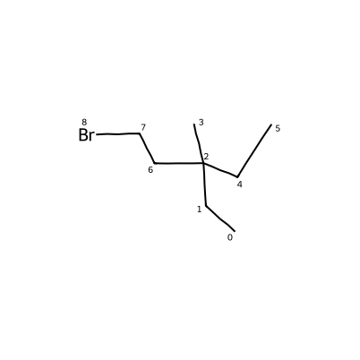 CCC(C)(CC)CCBr